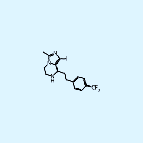 Cc1nc(I)c2n1CCNC2CCc1ccc(C(F)(F)F)cc1